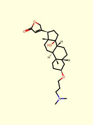 CN(C)CCCO[C@H]1CC[C@@]2(C)[C@H](CC[C@@H]3[C@@H]2CC[C@]2(C)[C@@H](C4=CC(=O)OC4)CC[C@]32O)C1